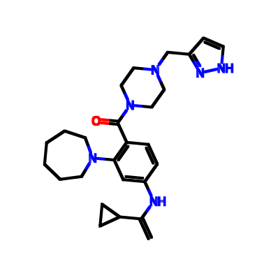 C=C(Nc1ccc(C(=O)N2CCN(Cc3cc[nH]n3)CC2)c(N2CCCCCC2)c1)C1CC1